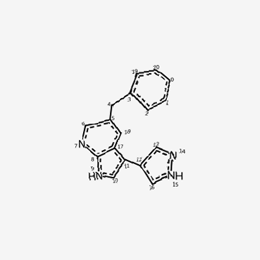 c1ccc(Cc2cnc3[nH]cc(-c4cn[nH]c4)c3c2)cc1